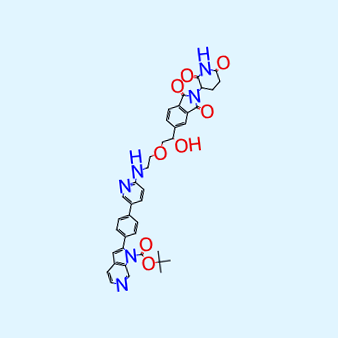 CC(C)(C)OC(=O)n1c(-c2ccc(-c3ccc(NCCOCC(O)c4ccc5c(c4)C(=O)N(C4CCC(=O)NC4=O)C5=O)nc3)cc2)cc2ccncc21